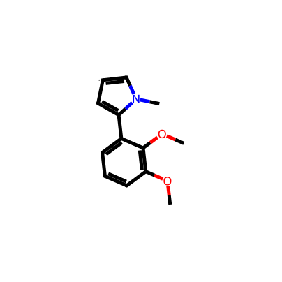 COc1cccc(-c2c[c]cn2C)c1OC